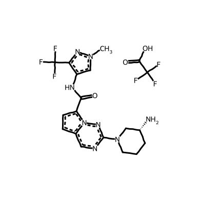 Cn1cc(NC(=O)c2ccc3cnc(N4CCC[C@@H](N)C4)nn23)c(C(F)(F)F)n1.O=C(O)C(F)(F)F